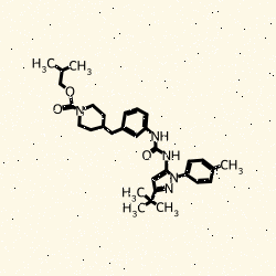 Cc1ccc(-n2nc(C(C)(C)C)cc2NC(=O)Nc2cccc(CC3CCN(C(=O)OCC(C)C)CC3)c2)cc1